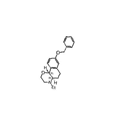 CCN1CCO[C@@H]2c3ccc(OCc4ccccc4)cc3CC[C@H]21